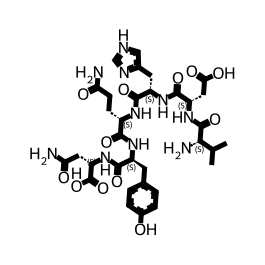 CC(C)[C@H](N)C(=O)N[C@@H](CC(=O)O)C(=O)N[C@@H](Cc1c[nH]cn1)C(=O)N[C@@H](CCC(N)=O)C(=O)N[C@@H](Cc1ccc(O)cc1)C(=O)N[C@@H](CC(N)=O)C(=O)O